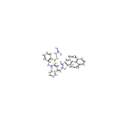 COc1cccc(OC)c1-c1ccc2c(c1)sc(C=C1C=C(SCCN(C)C)N(Cc3ccccc3)c3ccccc31)[n+]2C